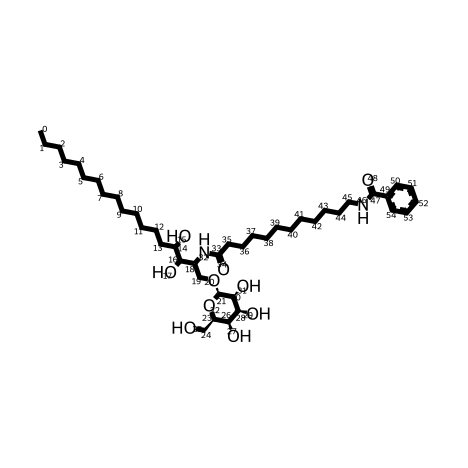 CCCCCCCCCCCCCCC(O)C(O)C(CO[C@H]1O[C@H](CO)[C@H](O)[C@H](O)[C@H]1O)NC(=O)CCCCCCCCCCCNC(=O)c1ccccc1